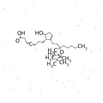 CCCCCC(C)(CCC1=CC[C@H](O)[C@@H]1CCC=C=CCC(=O)O)O[Si](C)(C)C(C)(C)C